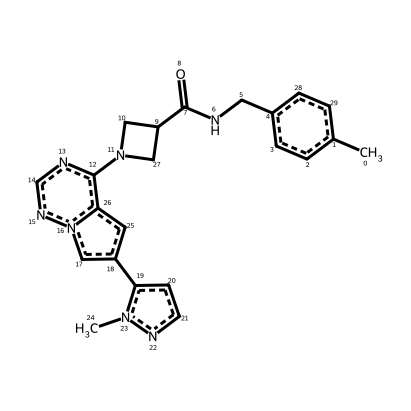 Cc1ccc(CNC(=O)C2CN(c3ncnn4cc(-c5ccnn5C)cc34)C2)cc1